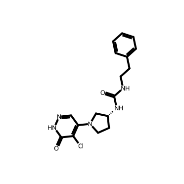 O=C(NCCc1ccccc1)N[C@@H]1CCN(c2cn[nH]c(=O)c2Cl)C1